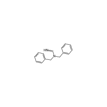 N=[C]N(Cc1ccccc1)Cc1ccccc1